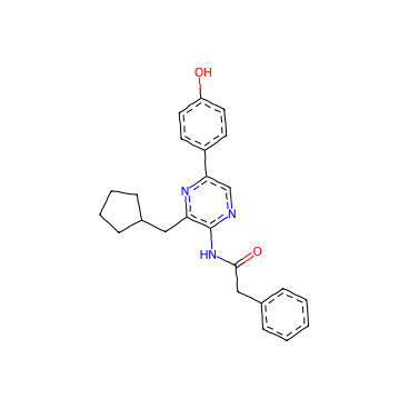 O=C(Cc1ccccc1)Nc1ncc(-c2ccc(O)cc2)nc1CC1CCCC1